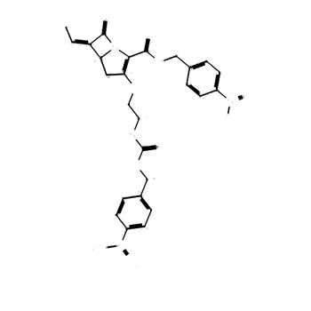 CC=C1C(=O)N2C(C(=O)OCc3ccc([N+](=O)[O-])cc3)=C(SCCNC(=O)OCc3ccc([N+](=O)[O-])cc3)CC12